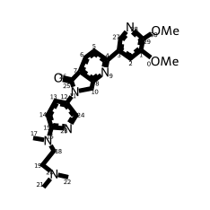 COc1cc(-c2ccc3c(n2)CN(c2ccc(N(C)CCN(C)C)nc2)C3=O)cnc1OC